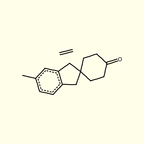 C=C.Cc1ccc2c(c1)CC1(CCC(=O)CC1)C2